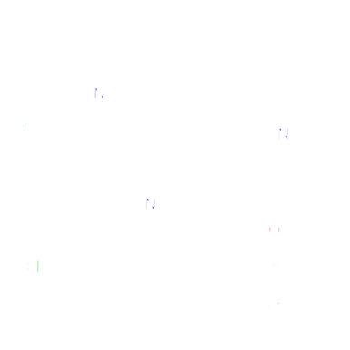 CS(=O)(=O)c1cccc(N(c2cc(Cl)cc(Cl)c2)C(c2cccnc2)c2cccnc2)c1